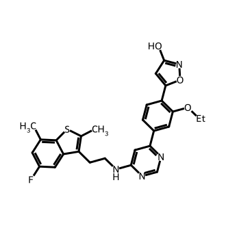 CCOc1cc(-c2cc(NCCc3c(C)sc4c(C)cc(F)cc34)ncn2)ccc1-c1cc(O)no1